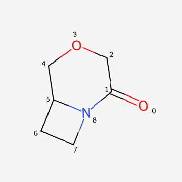 O=C1COCC2CCN12